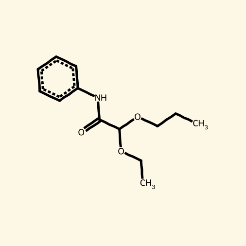 CCCOC(OCC)C(=O)Nc1ccccc1